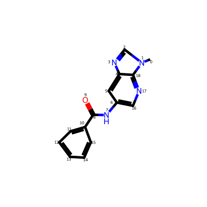 Cn1[c]nc2cc(NC(=O)c3ccccc3)cnc21